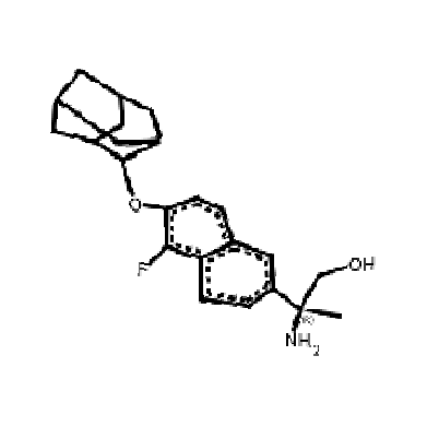 C[C@](N)(CO)c1ccc2c(F)c(OC3C4CC5CC(C4)CC3C5)ccc2c1